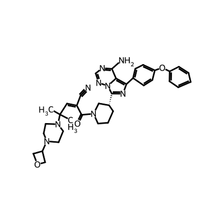 CC(C)(/C=C(/C#N)C(=O)N1CCC[C@@H](c2nc(-c3ccc(Oc4ccccc4)cc3)c3c(N)ncnn23)C1)N1CCN(C2COC2)CC1